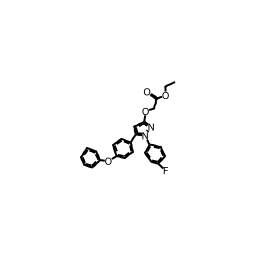 CCOC(=O)COc1cc(-c2ccc(Oc3ccccc3)cc2)n(-c2ccc(F)cc2)n1